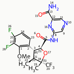 COc1c([C@@H]2[C@@H](C(=O)Nc3cncc(C(N)=O)n3)O[C@](C)(C(F)(F)F)[C@H]2C)ccc(F)c1F